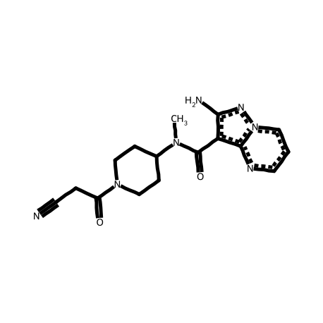 CN(C(=O)c1c(N)nn2cccnc12)C1CCN(C(=O)CC#N)CC1